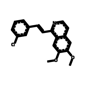 COc1cc2ccnc(C=Cc3cccc(Cl)c3)c2cc1OC